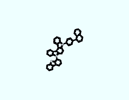 c1ccc2c(-c3ccc(-n4c5ccccc5c5c6c7ccccc7n(-c7cccc8c7oc7ccccc78)c6ccc54)cc3)cccc2c1